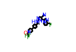 C[C@H](Nc1ncc(C#N)c(-c2cnc3c(CF)cccn23)n1)c1ccc(C2CCN(C(=O)C(F)(F)F)CC2)cc1